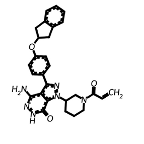 C=CC(=O)N1CCCC(n2nc(-c3ccc(OC4Cc5ccccc5C4)cc3)c3c(N)n[nH]c(=O)c32)C1